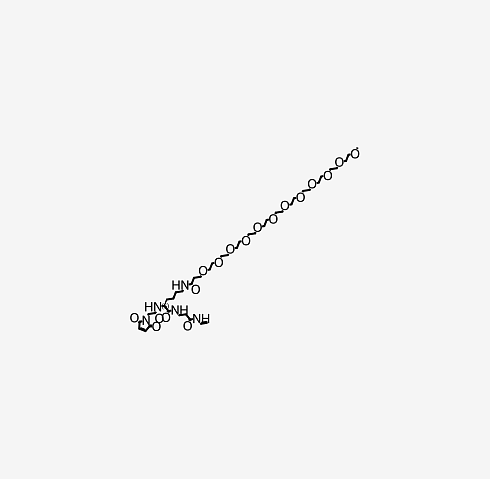 C=CNC(=O)CCNC(=O)[C@H](CCCCNC(=O)CCOCCOCCOCCOCCOCCOCCOCCOCCOCCOCCOCCOC)NC(=O)CN1C(=O)C=CC1=O